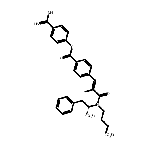 CCOC(=O)CCCN(C(=O)/C(C)=C/c1ccc(C(=O)Oc2ccc(C(=N)N)cc2)cc1)[C@@H](Cc1ccccc1)C(=O)OCC